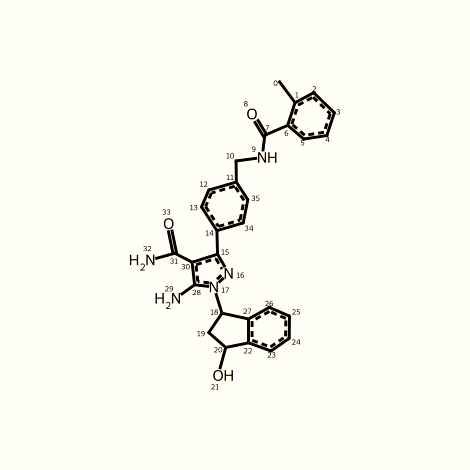 Cc1ccccc1C(=O)NCc1ccc(-c2nn(C3CC(O)c4ccccc43)c(N)c2C(N)=O)cc1